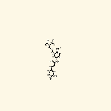 COc1ccc(NC(=O)C=Cc2ccc(F)c(F)c2)cc1CCCN(C(C)C)C(C)C